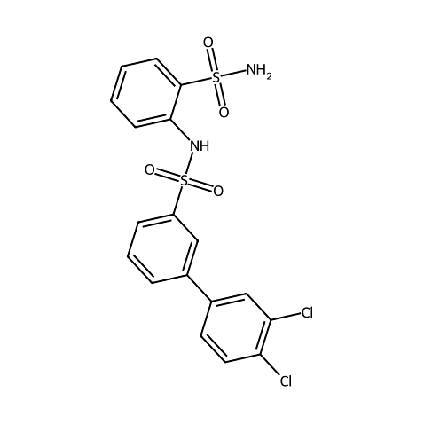 NS(=O)(=O)c1ccccc1NS(=O)(=O)c1cccc(-c2ccc(Cl)c(Cl)c2)c1